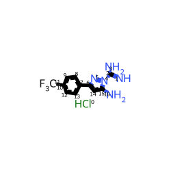 Cl.N=C(N)n1nc(-c2ccc(C(F)(F)F)cc2)cc1N